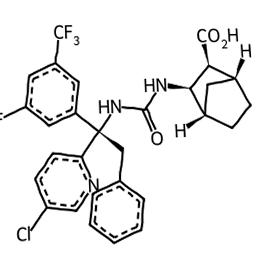 O=C(N[C@@H]1[C@H]2CC[C@H](C2)[C@@H]1C(=O)O)N[C@@](Cc1ccccc1)(c1cc(F)cc(C(F)(F)F)c1)c1ccc(Cl)cn1